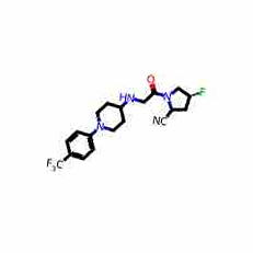 N#CC1C[C@H](F)CN1C(=O)CNC1CCN(c2ccc(C(F)(F)F)cc2)CC1